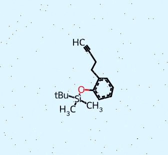 C#CCCc1ccccc1O[Si](C)(C)C(C)(C)C